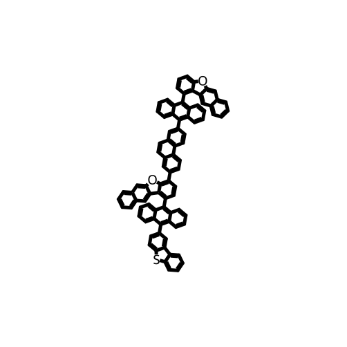 c1ccc2cc3c(cc2c1)oc1cccc(-c2c4ccccc4c(-c4ccc5c(ccc6cc(-c7ccc(-c8c9ccccc9c(-c9ccc%10sc%11ccccc%11c%10c9)c9ccccc89)c8c7oc7cc9ccccc9cc78)ccc65)c4)c4ccccc24)c13